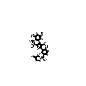 C=C1CCN(C(=O)c2ccc3c(c2)-c2sc(C(=O)N(C)c4ccc(F)cc4F)cc2CO3)C1